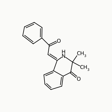 CC1(C)N/C(=C\C(=O)c2ccccc2)c2ccccc2C1=O